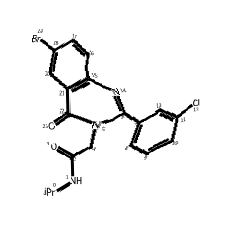 CC(C)NC(=O)Cn1c(-c2cccc(Cl)c2)nc2ccc(Br)cc2c1=O